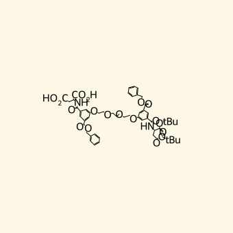 CC(C)(C)OC(=O)CC(NC(=O)c1cc(OCCOCCOCCOc2cc(C(=O)NC(CC(=O)O)C(=O)O)cc(C(=O)OCc3ccccc3)c2)cc(C(=O)OCc2ccccc2)c1)C(=O)OC(C)(C)C